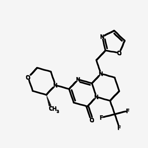 C[C@@H]1COCCN1c1cc(=O)n2c(n1)N(Cc1ncco1)CCC2C(F)(F)F